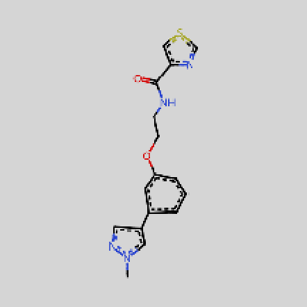 Cn1cc(-c2c[c]cc(OCCNC(=O)c3cscn3)c2)cn1